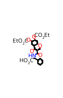 CCOC(=O)Oc1cc2occ(C(=O)NC(C(=O)O)c3ccccc3)c(=O)c2cc1OC(=O)OCC